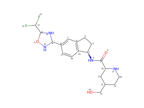 O=C(N[C@@H]1CCc2cc(C3NOC(C(F)F)N3)ccc21)C1CC(CO)CCN1